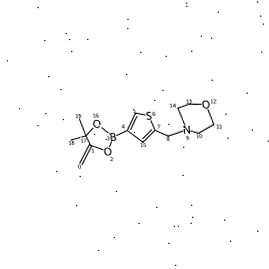 C=C1OB(c2csc(CN3CCOCC3)c2)OC1(C)C